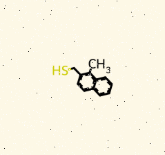 Cc1c(CS)ccc2ccccc12